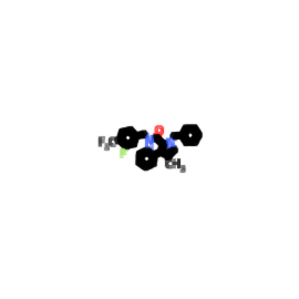 Cc1cn(Cc2ccccc2)c(C(=O)NCc2ccc(C(F)(F)F)c(F)c2)c1-c1ccccc1